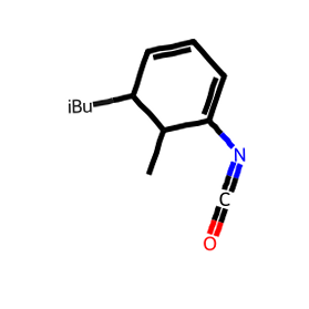 CCC(C)C1C=CC=C(N=C=O)C1C